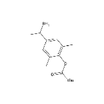 BC(C)c1cc(C)c(OC(=O)C(C)(C)C)c(C)c1